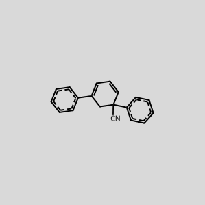 N#CC1(c2ccccc2)C=CC=C(c2ccccc2)C1